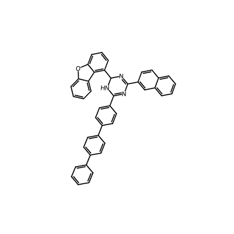 c1ccc(-c2ccc(-c3ccc(C4=NC(c5ccc6ccccc6c5)=NC(c5cccc6oc7ccccc7c56)N4)cc3)cc2)cc1